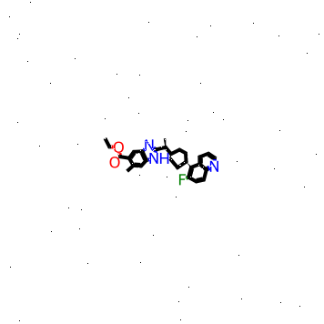 CCOC(=O)c1cc2nc([C@@H](C)[C@H]3CC[C@@H](c4c(F)ccc5ncccc54)CC3)[nH]c2cc1C